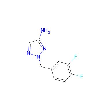 Nc1cnn(Cc2ccc(F)c(F)c2)n1